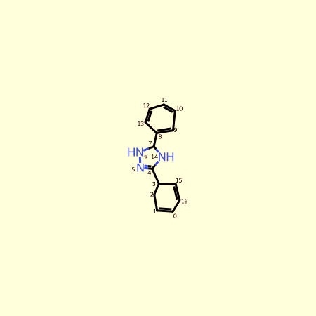 C1=CCC(C2=NNC(c3ccccc3)N2)C=C1